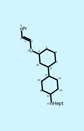 CCC/C=C/OC1CCCC(C2CCC(CCCCCCC)CC2)C1